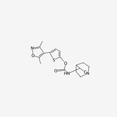 Cc1noc(C)c1-c1ccc(OC(=O)NC2CN3CCC2CC3)s1